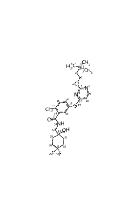 C[Si](C)(C)CCOc1nccc(Sc2ccc(Cl)c(C(=O)NCC3(O)CCC(F)(F)CC3)c2)n1